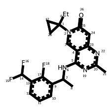 CCC1(n2cc3c(NC(C)c4cccc(C(F)F)c4F)nc(C)nc3cc2=O)CC1